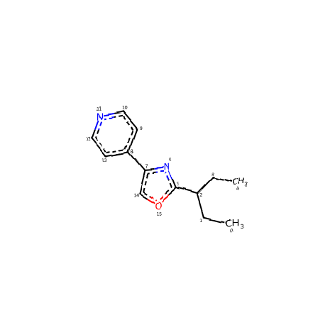 CCC(CC)c1nc(-c2ccncc2)co1